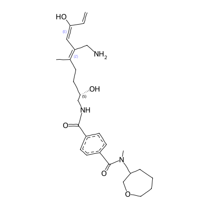 C=C/C(O)=C\C(CN)=C(/C)CC[C@H](O)CNC(=O)c1ccc(C(=O)N(C)C2CCCCOC2)cc1